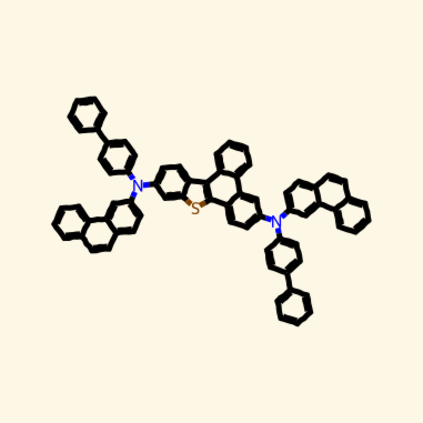 c1ccc(-c2ccc(N(c3ccc4c(c3)sc3c5ccc(N(c6ccc(-c7ccccc7)cc6)c6ccc7ccc8ccccc8c7c6)cc5c5ccccc5c43)c3ccc4ccc5ccccc5c4c3)cc2)cc1